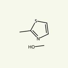 CO.Cc1nccs1